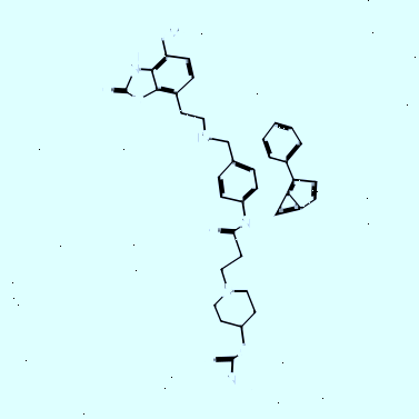 COc1ccc(CCNCc2ccc(NC(=O)CCN3CCC(OC(N)=O)CC3)cc2)c2sc(=O)[nH]c12.c1ccc(-c2ccc3cc2-3)cc1